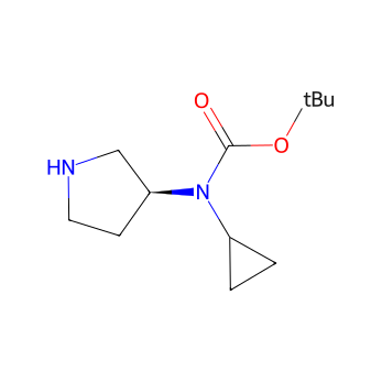 CC(C)(C)OC(=O)N(C1CC1)[C@H]1CCNC1